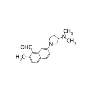 Cc1ccc2ccc(N3CCC(N(C)C)C3)cc2c1C=O